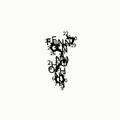 [2H]C([2H])(C(=O)N1CCN(C)CC1)c1nc(-c2nc(N3CC[C@@H]3C)nc3c2CCC3(F)F)no1